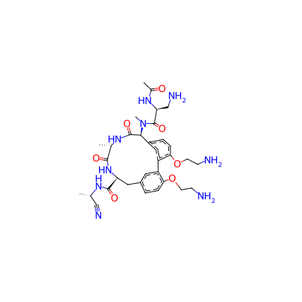 CC(=O)N[C@@H](CN)C(=O)N(C)[C@@H]1C(=O)N[C@@H](C)C(=O)N[C@H](C(=O)N[C@@H](C)C#N)Cc2ccc(OCCN)c(c2)-c2cc1ccc2OCCN